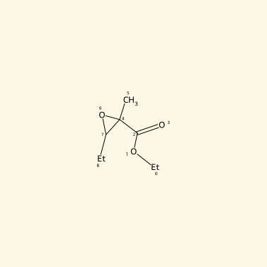 CCOC(=O)C1(C)OC1CC